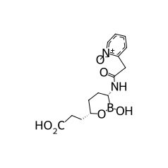 O=C(O)CC[C@@H]1CC[C@H](NC(=O)Cc2cccc[n+]2[O-])B(O)O1